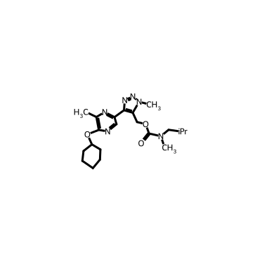 Cc1nc(-c2nnn(C)c2COC(=O)N(C)CC(C)C)cnc1OC1CCCCC1